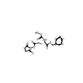 CC(C)(C)OC(=O)N[C@@H](CCC(=O)ON1C(=O)CCC1=O)C(=O)OCc1ccccc1